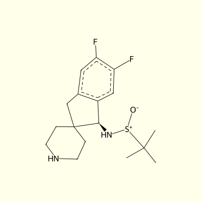 CC(C)(C)[S+]([O-])N[C@@H]1c2cc(F)c(F)cc2CC12CCNCC2